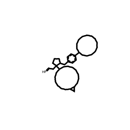 P=CCC1(C2CCCCCCCC3CC3CCCCCC2)CCCC1Cc1ccc(C2CCCCCCCCCCCCC2)cc1